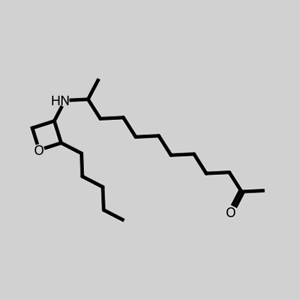 CCCCCC1OCC1NC(C)CCCCCCCCC(C)=O